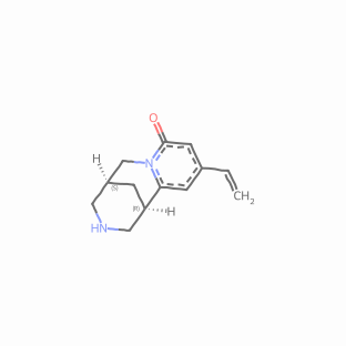 C=Cc1cc2n(c(=O)c1)C[C@@H]1CNC[C@H]2C1